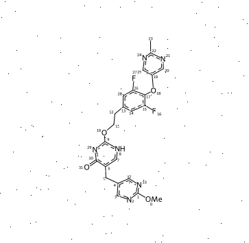 COc1ncc(Cc2c[nH]c(OCCc3cc(F)c(Oc4cnc(C)nc4)c(F)c3)nc2=O)cn1